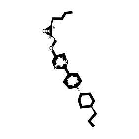 CCCC[C@@H]1O[C@H]1COc1cnc(-c2ccc([C@H]3CC[C@H](CCC)CC3)cc2)nc1